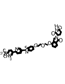 CN(C)c1ccc(-c2ccc(-c3nc4ccc(OCCOCCOc5cccc6c5CN(C5CCC(=O)NC5=O)C6=O)cc4s3)cn2)cn1